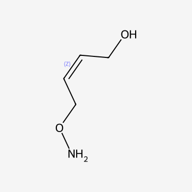 NOC/C=C\CO